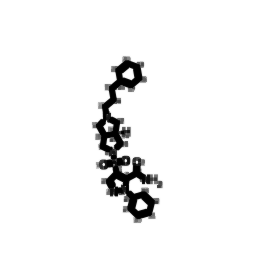 NC(=O)c1c(S(=O)(=O)N2CC3CN(CC[CH]c4ccccc4)C[C@H]3C2)cnn1-c1ccccc1